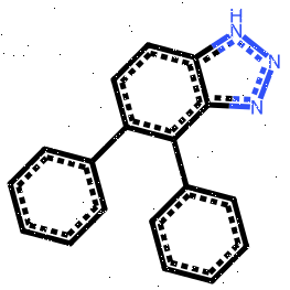 c1ccc(-c2ccc3[nH]nnc3c2-c2ccccc2)cc1